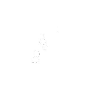 C[C@]1(O)CC[C@@H](Nc2ncc3c(-c4ccc5nccnc5c4)ccn3n2)CC1